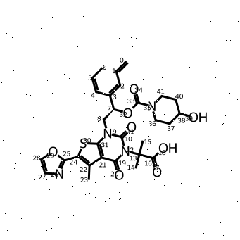 C=C/C=C(\C=C/C)[C@H](Cn1c(=O)n(C(C)(C)C(=O)O)c(=O)c2c(C)c(-c3ncco3)sc21)OC(=O)N1CCC(O)CC1